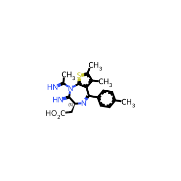 CC(=N)N1C(=N)[C@H](CC(=O)O)N=C(c2ccc(C)cc2)c2c1sc(C)c2C